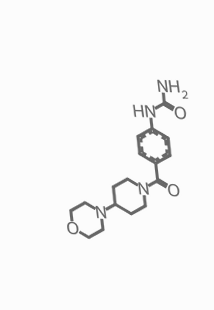 NC(=O)Nc1ccc(C(=O)N2CCC(N3CCOCC3)CC2)cc1